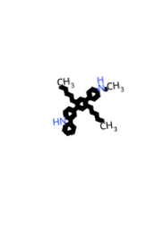 CCCCCCc1cc(-c2ccc3[nH]c4ccccc4c3c2)c(CCCCCC)cc1-c1ccc(NCC)cc1